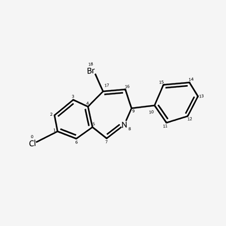 Clc1ccc2c(c1)C=NC(c1ccccc1)C=C2Br